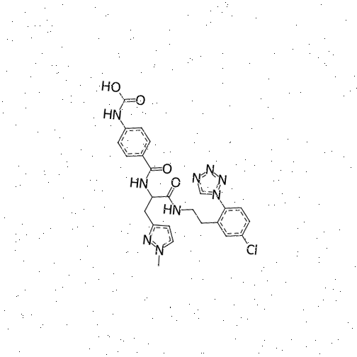 Cn1ccc(CC(NC(=O)c2ccc(NC(=O)O)cc2)C(=O)NCCc2cc(Cl)ccc2-n2cnnn2)n1